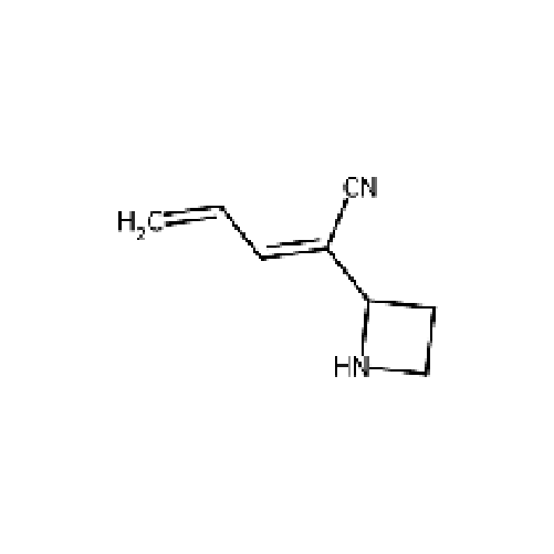 C=CC=C(C#N)C1CCN1